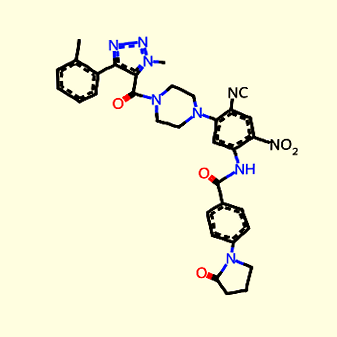 [C-]#[N+]c1cc([N+](=O)[O-])c(NC(=O)c2ccc(N3CCCC3=O)cc2)cc1N1CCN(C(=O)c2c(-c3ccccc3C)nnn2C)CC1